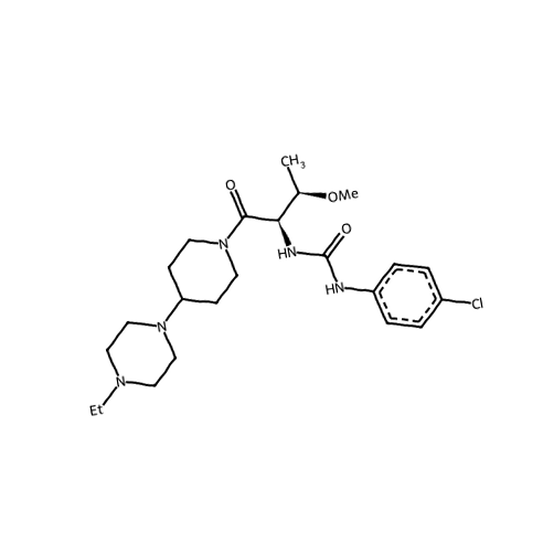 CCN1CCN(C2CCN(C(=O)[C@H](NC(=O)Nc3ccc(Cl)cc3)[C@@H](C)OC)CC2)CC1